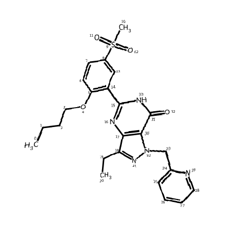 CCCCOc1ccc(S(C)(=O)=O)cc1-c1nc2c(CC)nn(Cc3ccccn3)c2c(=O)[nH]1